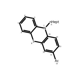 CCCCCCCN1c2ccccc2Sc2cc(C(C)=O)ccc21